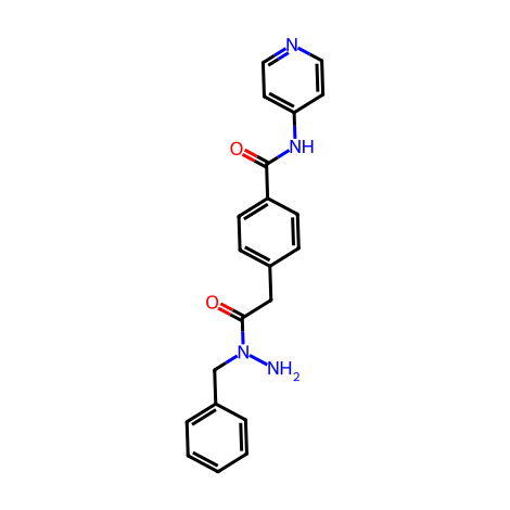 NN(Cc1ccccc1)C(=O)Cc1ccc(C(=O)Nc2ccncc2)cc1